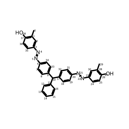 Cc1cc(N=Nc2ccc(C(c3ccccc3)c3ccc(N=Nc4ccc(O)c(C)c4)cc3)cc2)ccc1O